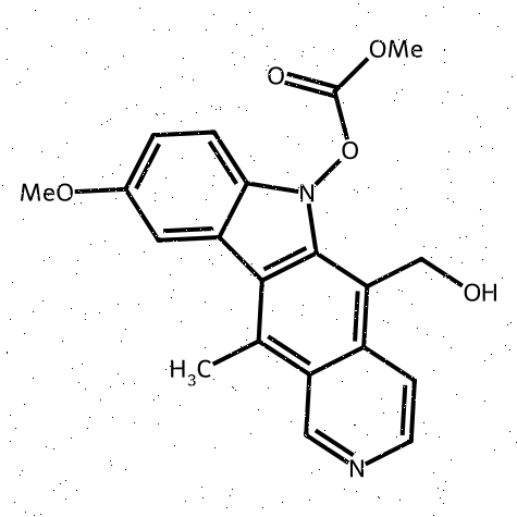 COC(=O)On1c2ccc(OC)cc2c2c(C)c3cnccc3c(CO)c21